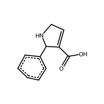 O=C(O)C1=CCNC1c1ccccc1